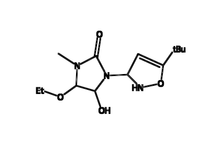 CCOC1C(O)N(C2C=C(C(C)(C)C)ON2)C(=O)N1C